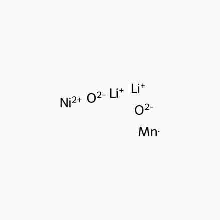 [Li+].[Li+].[Mn].[Ni+2].[O-2].[O-2]